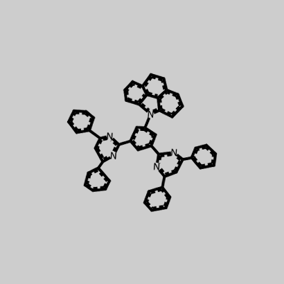 c1ccc(-c2cc(-c3ccccc3)nc(-c3cc(-c4nc(-c5ccccc5)cc(-c5ccccc5)n4)cc(-n4c5cccc6ccc7cccc4c7c65)c3)n2)cc1